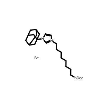 CCCCCCCCCCCCCCCCCC[n+]1ccn(C23CC4CC(CC(C4)C2)C3)c1.[Br-]